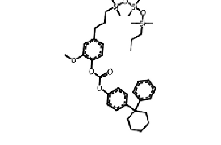 CCC[Si](C)(C)O[Si](C)(C)O[Si](C)(C)CCCc1ccc(OC(=O)Oc2ccc(C3(c4ccccc4)CCCCC3)cc2)c(OC)c1